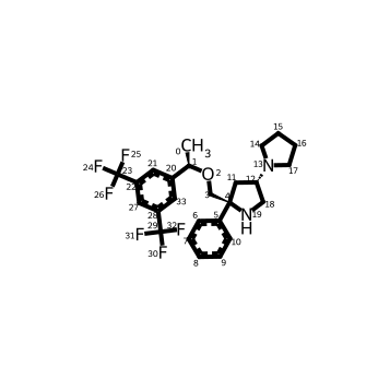 C[C@@H](OC[C@@]1(c2ccccc2)C[C@H](N2CCCC2)CN1)c1cc(C(F)(F)F)cc(C(F)(F)F)c1